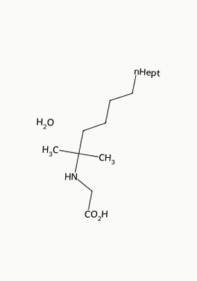 CCCCCCCCCCCC(C)(C)NCC(=O)O.O